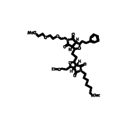 CCCCCCCCCCCCCCCCN1C(=O)[C@@H]2C(CCOCC)OC(CCC3OC(CCc4ccccc4)[C@@H]4C(=O)N(CCOCCOCCOC)C(=O)[C@H]34)[C@@H]2C1=O